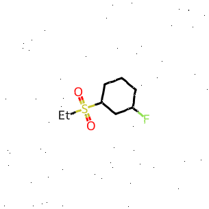 CCS(=O)(=O)C1CCCC(F)C1